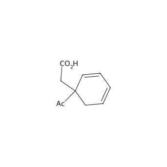 CC(=O)C1(CC(=O)O)C=CC=CC1